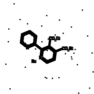 CCOC(=O)c1ccnc(-c2ccccn2)c1C(=O)OCC.[Ru]